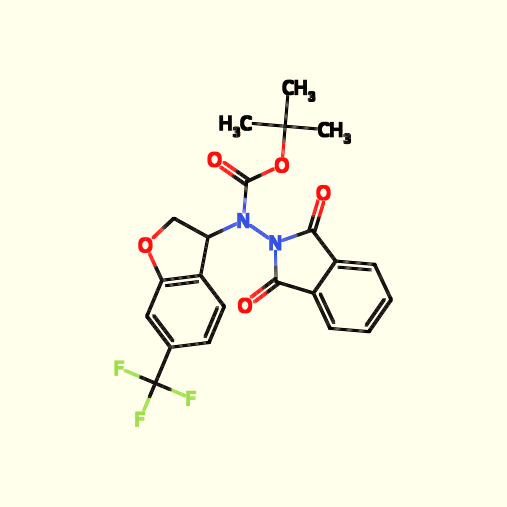 CC(C)(C)OC(=O)N(C1COc2cc(C(F)(F)F)ccc21)N1C(=O)c2ccccc2C1=O